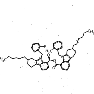 CCCCCCC1CCc2c(n(Cc3ccccc3C)c3c(C(=O)OC(=O)c4cccc5c6c(n(Cc7ccccc7F)c45)CC(CCCCCC)CC6)cccc23)C1